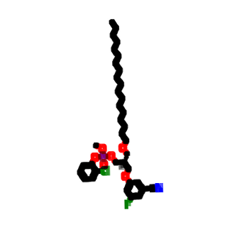 CCCCCCCCCCCCCCCCCCOC[C@H](COc1cc(F)cc(C#N)c1)COP(=O)(OC)Oc1ccccc1Cl